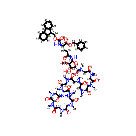 CN(CC(N)=O)C(=O)CN(C)C(=O)CN(C)C(=O)CN(C)C(=O)CN(C)C(=O)CN(C)C(=O)CN(C)C(=O)CN(C)C(=O)CN(C)C(=O)CN(C)C(=O)CN(C)C(=O)CN(C)C(=O)[C@H]1OC(NC(=O)CC[C@H](NC(=O)OCC2c3ccccc3-c3ccccc32)C(=O)OCc2ccccc2)[C@H](O)[C@@H]1O